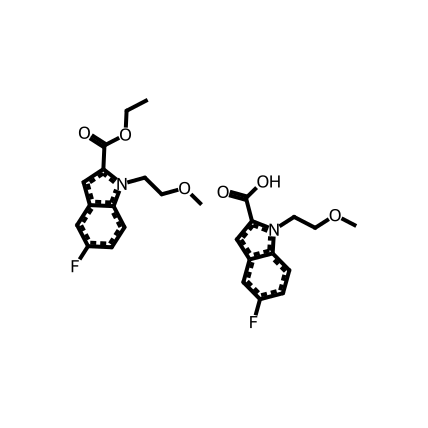 CCOC(=O)c1cc2cc(F)ccc2n1CCOC.COCCn1c(C(=O)O)cc2cc(F)ccc21